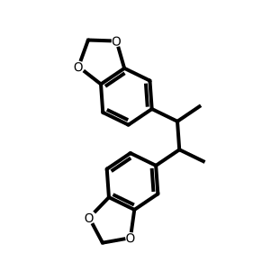 CC(c1ccc2c(c1)OCO2)C(C)c1ccc2c(c1)OCO2